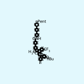 CCCCCC1CCC(c2ccc(-c3ccc(NC(=O)c4ccc(-c5ccc6c(c5)-c5c(c7c(c8cc(C(F)(F)F)ccc58)OC(c5ccc(F)cc5)(c5ccc(OCCCC)cc5)C=C7)C6(C)C)cc4)cc3)cc2)CC1